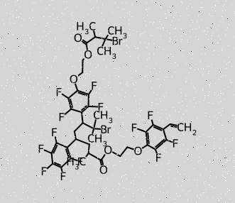 C=Cc1c(F)c(F)c(OCCOC(=O)C(C)CC(CC(c2c(F)c(F)c(OCCOC(=O)C(C)C(C)(C)Br)c(F)c2F)C(C)(C)Br)c2c(F)c(F)c(F)c(F)c2F)c(F)c1F